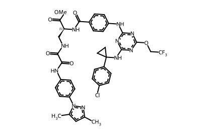 COC(=O)[C@H](CNC(=O)C(=O)Nc1ccc(-n2nc(C)cc2C)cc1)NC(=O)c1ccc(Nc2nc(NC3(c4ccc(Cl)cc4)CC3)nc(OCC(F)(F)F)n2)cc1